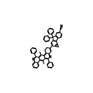 Cc1c2c3c(nc(-c4ccccc4)c2c(C)c2c1c(-c1ccccc1)nc1ccccc12)C=C(c1cc2c(c4c1C4)-c1ccc(C#N)cc1C2(c1ccccc1)c1ccccc1)CC3